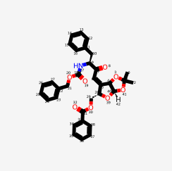 CC1(C)OC2C(=CC(=O)[C@H](Cc3ccccc3)NC(=O)OCc3ccccc3)[C@@H](COC(=O)c3ccccc3)O[C@@H]2O1